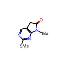 CSc1ncc2c(n1)N(C(C)(C)C)C(=O)C2